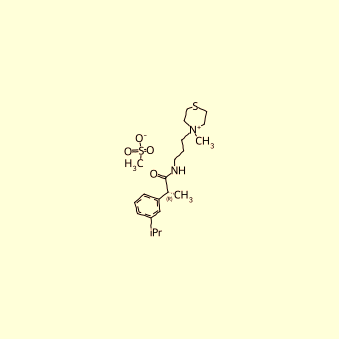 CC(C)c1cccc([C@@H](C)C(=O)NCCC[N+]2(C)CCSCC2)c1.CS(=O)(=O)[O-]